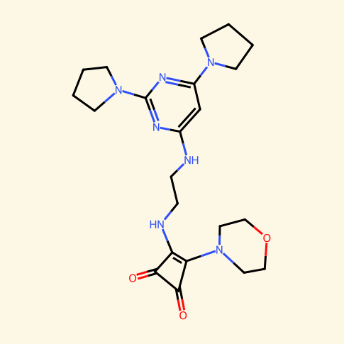 O=c1c(NCCNc2cc(N3CCCC3)nc(N3CCCC3)n2)c(N2CCOCC2)c1=O